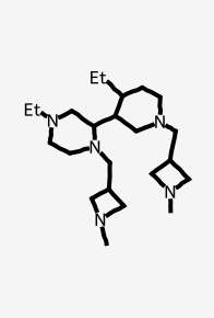 CCC1CCN(CC2CN(C)C2)CC1C1CN(CC)CCN1CC1CN(C)C1